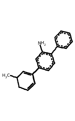 CC1C=C(c2ccc(-c3ccccc3)c(N)c2)C=CC1